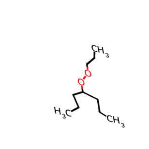 CCCOOC(CCC)CCC